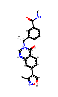 CNC(=O)c1cccc([C@@H](C)n2cnc3cc(-c4conc4C)ccc3c2=O)c1